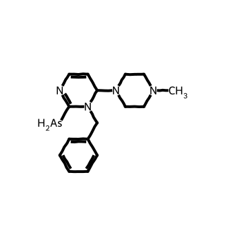 CN1CCN(C2C=CN=C([AsH2])N2Cc2ccccc2)CC1